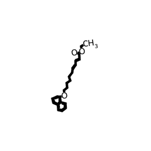 CCOC(=O)C=CC=CCCCCCCOc1cccc2ccccc12